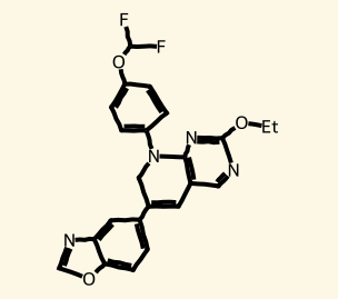 CCOc1ncc2c(n1)N(c1ccc(OC(F)F)cc1)CC(c1ccc3ocnc3c1)=C2